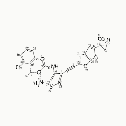 CC(OC(=O)Nc1c(C#Cc2cc3cc(C4(C(=O)O)CC4)oc3o2)nsc1N)c1ccccc1Cl